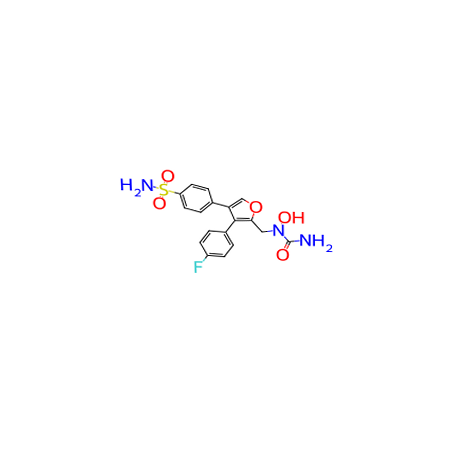 NC(=O)N(O)Cc1occ(-c2ccc(S(N)(=O)=O)cc2)c1-c1ccc(F)cc1